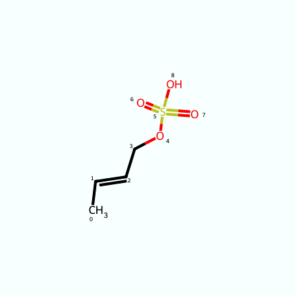 CC=CCOS(=O)(=O)O